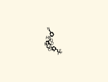 C[C@H]1Cn2ncc(C(=O)Nc3cccc(C#N)c3)c2C(=O)N1c1ccc(CCC(F)(F)F)cc1